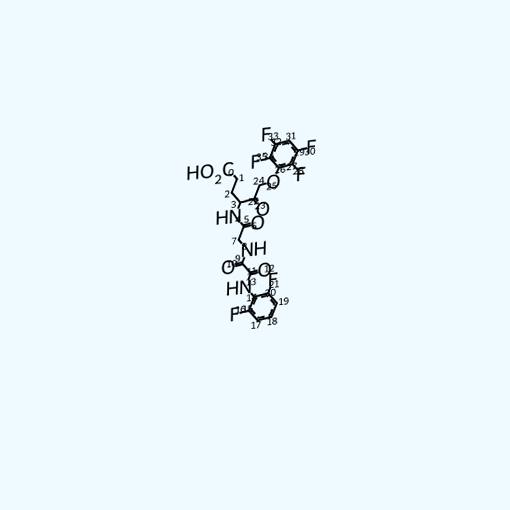 O=C(O)CCC(NC(=O)CNC(=O)C(=O)Nc1c(F)cccc1F)C(=O)COc1c(F)c(F)cc(F)c1F